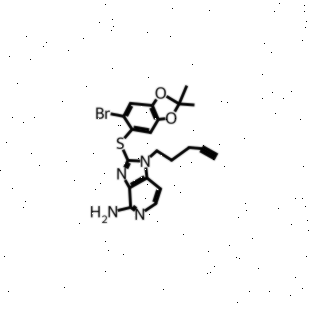 C#CCCCn1c(Sc2cc3c(cc2Br)OC(C)(C)O3)nc2c(N)nccc21